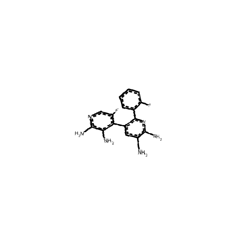 Nc1cc(-c2c(F)cnc(N)c2N)c(-c2ccccc2F)nc1N